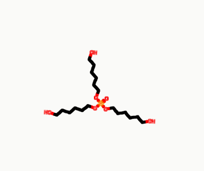 O=P(OCCCCCCO)(OCCCCCCO)OCCCCCCO